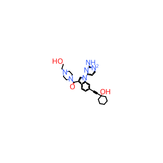 Nc1nccc(-n2cc(C(=O)N3CCN(CCO)CC3)c3ccc(C#CC4(O)CCCCC4)cc32)n1